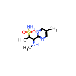 CNC(c1ncc(C)cn1)C(C)S(N)(=O)=O